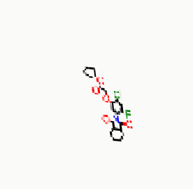 O=C(COc1cc(N2C(=O)C3=C(CCCC3)C2=O)c(F)cc1Cl)OC1CCCC1